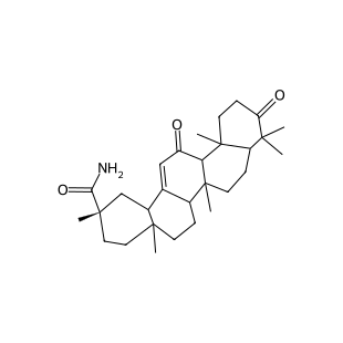 CC12CCC3C(=CC(=O)C4C3(C)CCC3C(C)(C)C(=O)CCC34C)C1C[C@@](C)(C(N)=O)CC2